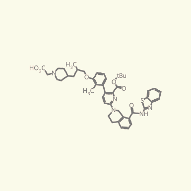 Cc1c(OCC(C)CC2CCN(CC(=O)O)CC2)cccc1-c1ccc(N2CCc3cccc(C(=O)Nc4nc5ccccc5s4)c3C2)nc1C(=O)OC(C)(C)C